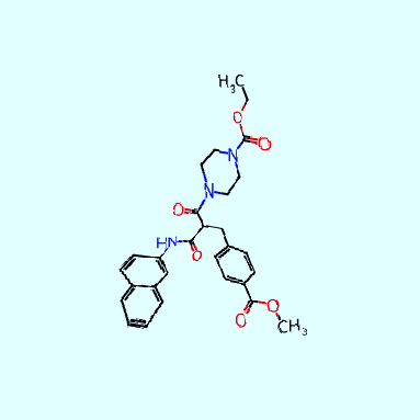 CCOC(=O)N1CCN(C(=O)C(Cc2ccc(C(=O)OC)cc2)C(=O)Nc2ccc3ccccc3c2)CC1